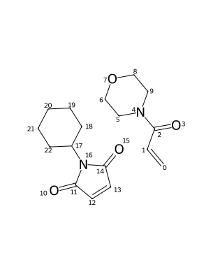 C=CC(=O)N1CCOCC1.O=C1C=CC(=O)N1C1CCCCC1